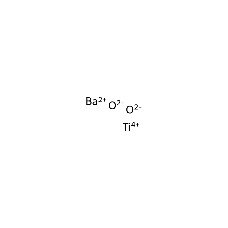 [Ba+2].[O-2].[O-2].[Ti+4]